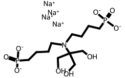 O=P([O-])([O-])CCCCN(CCCCP(=O)([O-])[O-])C(CO)(CO)CO.[Na+].[Na+].[Na+].[Na+]